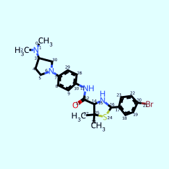 CN(C)C1CCN(c2ccc(NC(=O)C3NC(c4ccc(Br)cc4)SC3(C)C)cc2)C1